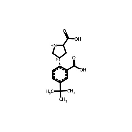 CC(C)(C)c1ccc([C@@H]2CNC(C(=O)O)C2)c(C(=O)O)c1